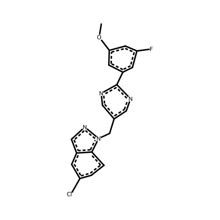 COc1cc(F)cc(-c2ncc(Cn3ncc4cc(Cl)ccc43)cn2)c1